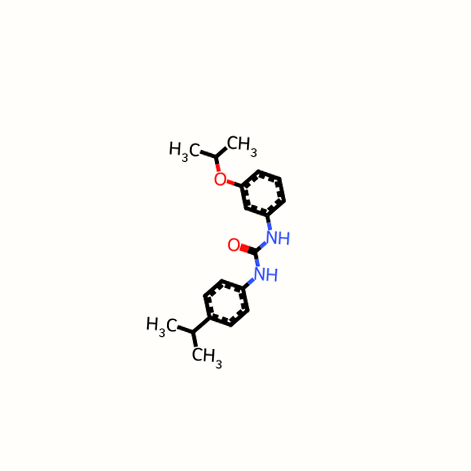 CC(C)Oc1cccc(NC(=O)Nc2ccc(C(C)C)cc2)c1